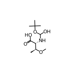 CO[C@@H](C)[C@@H](NC(O)OC(C)(C)C)C(=O)O